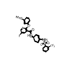 CSc1cccc(Oc2ncc(F)cc2C(=O)NC2CCC(NS(=O)(=O)c3ccccc3C(F)(F)F)CC2)c1